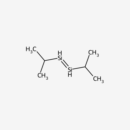 CC(C)/[SiH]=[SiH]/C(C)C